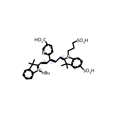 CCCC[N+]1=C(/C=C/C(=C/C=C2/N(CCCS(=O)(=O)O)c3ccc(S(=O)(=O)O)cc3C2(C)C)c2ccc(C(=O)O)cn2)C(C)(C)c2ccccc21